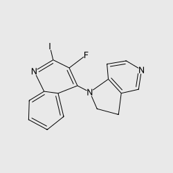 Fc1c(I)nc2ccccc2c1N1CCc2cnccc21